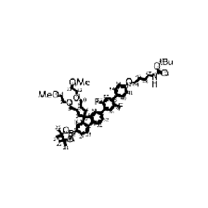 COCCOCCCC1(CCCOCCOC)c2cc(B3OC(C)(C)C(C)(C)O3)ccc2-c2ccc(-c3cc(F)c(-c4ccc(OCCCCNC(=O)OC(C)(C)C)cc4)cc3F)cc21